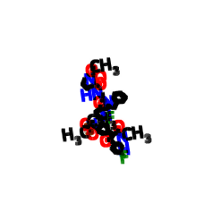 CNC(=O)c1c(-c2ccc(F)cc2)oc2cc(N(C)S(C)(=O)=O)c(C3=CC=C4OC(CNC(=O)[C@@H]5CCCN5C(=O)OC)N5C(=C4N3F)Cc3ccccc35)cc12